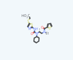 CCN(C[C@@H](C)N(C(=O)Nc1ncc(SCC(=O)O)s1)C1CCCCC1)C(=O)c1cccs1